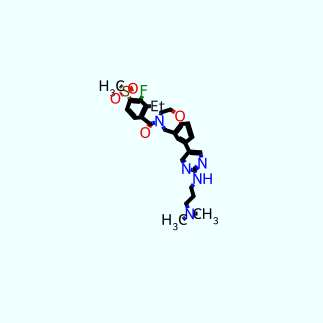 CCc1c(C(=O)N2CCOc3ccc(-c4cnc(NCCCN(C)C)nc4)cc3C2)ccc(S(C)(=O)=O)c1F